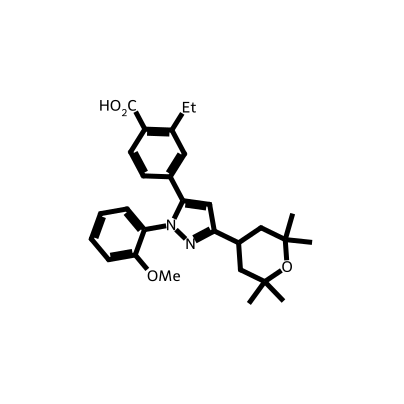 CCc1cc(-c2cc(C3CC(C)(C)OC(C)(C)C3)nn2-c2ccccc2OC)ccc1C(=O)O